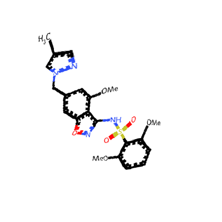 COc1cccc(OC)c1S(=O)(=O)Nc1noc2cc(Cn3cc(C)cn3)cc(OC)c12